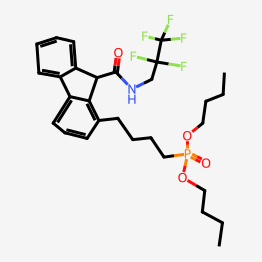 CCCCOP(=O)(CCCCc1cccc2c1C(C(=O)NCC(F)(F)C(F)(F)F)c1ccccc1-2)OCCCC